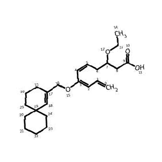 C=C/C=C(\C=C/CC(CC(=O)O)OCC)OCC1=CC2(CCCCC2)CCC1